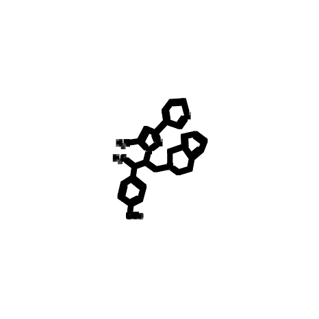 COc1ccc(C(C)C(CN2CCc3ccccc3C2)n2nc(-c3cccnc3)cc2N)cc1